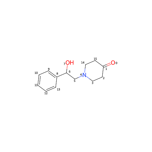 O=C1CCN(CC(O)c2ccccc2)CC1